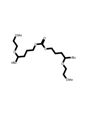 CCCCC(CCCOC(=O)OCCCC(CCCC)OCCOC)OCCOC